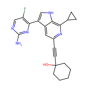 Nc1ncc(F)c(-c2c[nH]c3c(C4CC4)nc(C#CC4(O)CCCCC4)cc23)n1